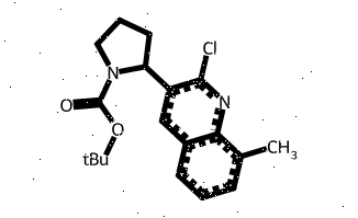 Cc1cccc2cc(C3CCCN3C(=O)OC(C)(C)C)c(Cl)nc12